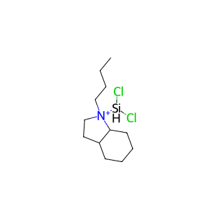 CCCC[N+]1([SiH](Cl)Cl)CCC2CCCCC21